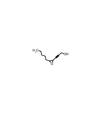 CCCCCC1OC1C#CCO